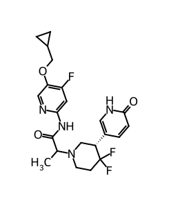 CC(C(=O)Nc1cc(F)c(OCC2CC2)cn1)N1CCC(F)(F)[C@@H](c2ccc(=O)[nH]c2)C1